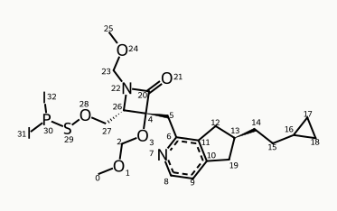 COCO[C@@]1(Cc2nccc3c2C[C@@H](CCC2CC2)C3)C(=O)N(COC)[C@H]1COSP(I)I